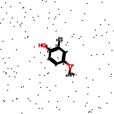 CCCOc1ccc(O)c(CC)c1